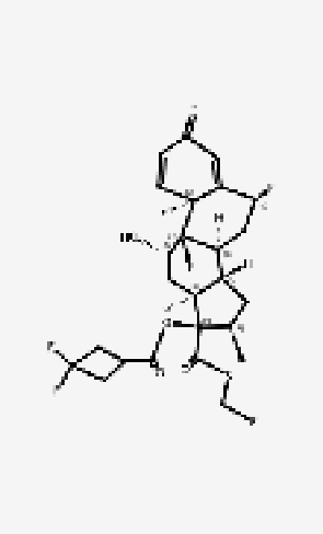 C[C@@H]1C[C@H]2[C@@H]3C[C@H](F)C4=CC(=O)C=C[C@]4(C)[C@@]3(F)[C@@H](O)C[C@]2(C)[C@@]1(OC(=O)C1CC(F)(F)C1)C(=O)SCF